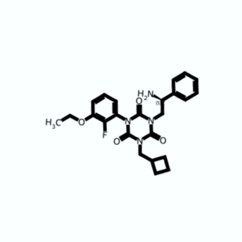 CCOc1cccc(-n2c(=O)n(CC3CCC3)c(=O)n(C[C@@H](N)c3ccccc3)c2=O)c1F